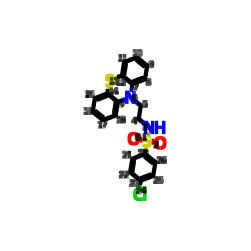 O=S(=O)(NCCN1c2ccccc2Sc2ccccc21)c1ccc(Cl)cc1